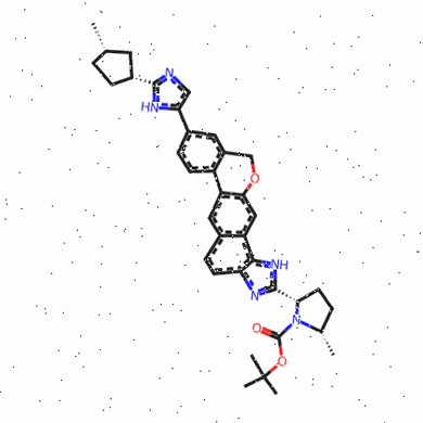 C[C@H]1CC[C@@H](c2ncc(-c3ccc4c(c3)COc3cc5c(ccc6nc([C@@H]7CC[C@H](C)N7C(=O)OC(C)(C)C)[nH]c65)cc3-4)[nH]2)C1